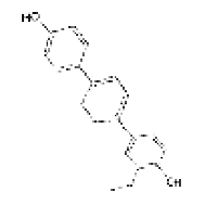 CCc1cc(C2=CC=C(c3ccc(O)cc3)CC2)ccc1O